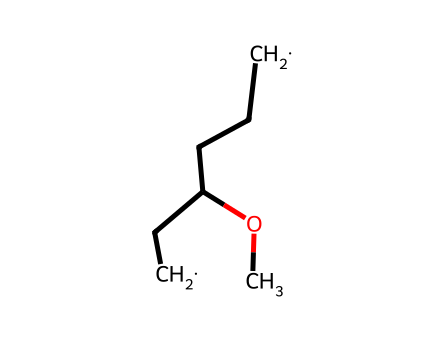 [CH2]CCC(C[CH2])OC